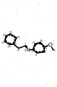 COc1ccc(/N=C/Cc2ccccc2)cc1